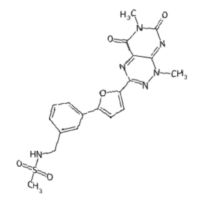 Cn1nc(-c2ccc(-c3cccc(CNS(C)(=O)=O)c3)o2)nc2c(=O)n(C)c(=O)nc1-2